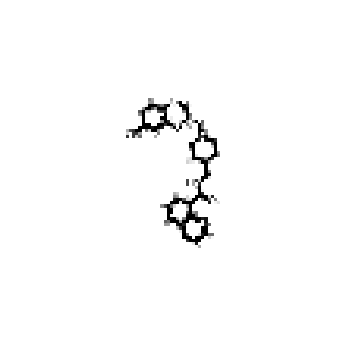 O=C(NCC1CCN(C[C@H]2COc3ccc(Cl)cc3O2)CC1)c1cccc2cccnc12